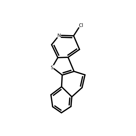 Clc1cc2c(cn1)sc1c3ccccc3ccc21